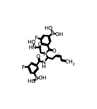 C=C/C=C\CC(NC(=O)c1cc(F)cc(B(O)O)c1)N(CC(=O)NO)C(=O)c1cc(F)cc(B(O)O)c1